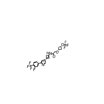 O=C(CO[C@H]1C[C@@H](OC(F)(F)F)C1)NC12CC(n3cnc(-c4ccc(C(F)(F)F)c(F)c4)c3)(C1)C2